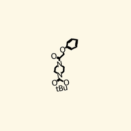 CC(C)(C)OC(=O)N1CCN(C(=O)COc2ccccc2)CC1